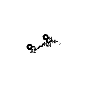 CC(=O)N(CCCCn1cnc2c(N)nc3ccccc3c21)Cc1ccccc1Cl